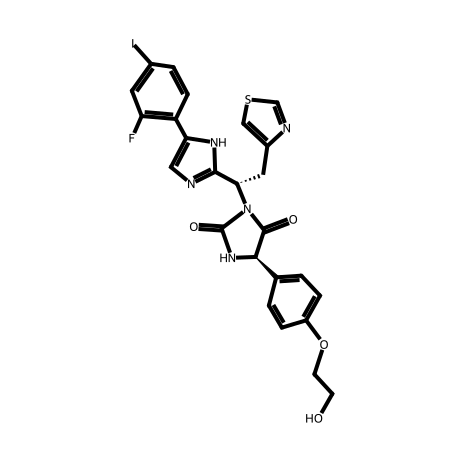 O=C1N[C@H](c2ccc(OCCO)cc2)C(=O)N1[C@@H](Cc1cscn1)c1ncc(-c2ccc(I)cc2F)[nH]1